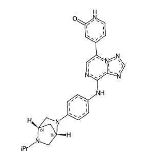 CC(C)N1C[C@@H]2C[C@H]1CN2c1ccc(Nc2ncc(-c3cc[nH]c(=O)c3)n3ncnc23)cc1